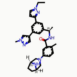 CCn1ccc(-c2cc(-c3cnn(C)c3)cc([C@@H](C)NC(=O)c3cc(N4C[C@H]5CC[C@@H](C4)N5)ccc3C)c2)n1